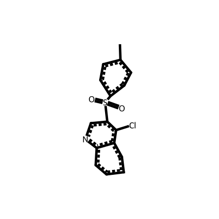 Cc1ccc(S(=O)(=O)c2cnc3ccccc3c2Cl)cc1